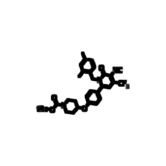 [C-]#[N+]c1c(C(F)(F)F)cc(-c2ccc(OC3CCN(C(=O)OC(C)(C)C)CC3)cc2)n(Cc2ccc(C)cc2C)c1=O